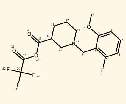 COc1cccc(F)c1CN1CCCC(C(=O)OC(=O)C(F)(F)F)C1